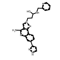 Nc1nc2cc(-c3cc[nH]n3)ccc2c2nn(CCC(O)NCc3ccccn3)cc12